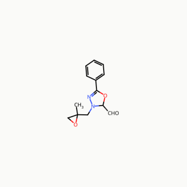 CC1(CN2N=C(c3ccccc3)OC2C=O)CO1